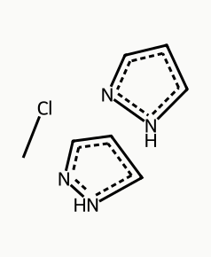 CCl.c1cn[nH]c1.c1cn[nH]c1